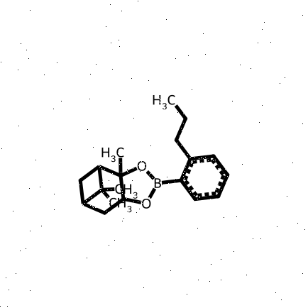 CCCc1ccccc1B1OC2CC3CC(C3(C)C)C2(C)O1